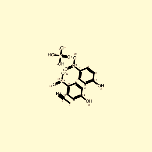 CC#N.O=P(O)(O)O.O=[N+]([O-])c1ccc(O)cc1.O=[N+]([O-])c1ccc(O)cc1